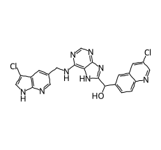 OC(c1ccc2ncc(Cl)cc2c1)c1nc2ncnc(NCc3cnc4[nH]cc(Cl)c4c3)c2[nH]1